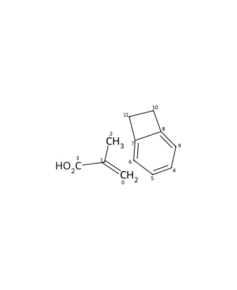 C=C(C)C(=O)O.c1ccc2c(c1)CC2